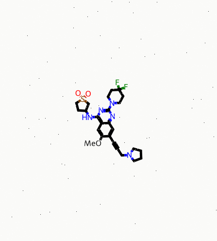 COc1cc2c(NC3CCS(=O)(=O)C3)nc(N3CCC(F)(F)CC3)nc2cc1C#CCN1CCCC1